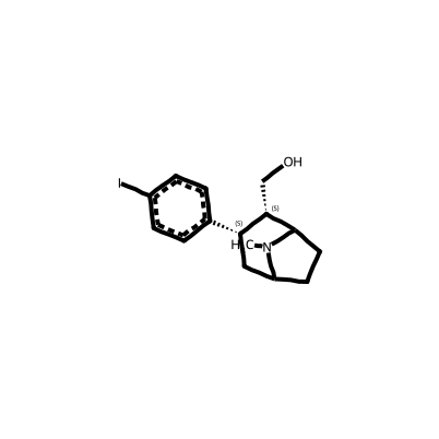 CN1C2CCC1[C@@H](CO)[C@@H](c1ccc(I)cc1)C2